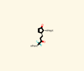 CCCCCCC[C@H]1C(=O)C=C[C@@H]1CCC(=O)C(F)(F)CCCCC